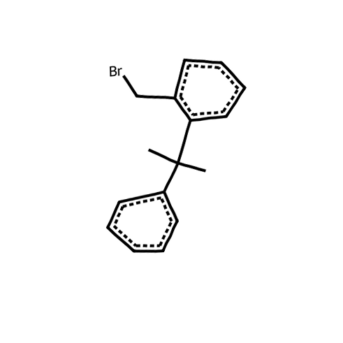 CC(C)(c1ccccc1)c1ccccc1CBr